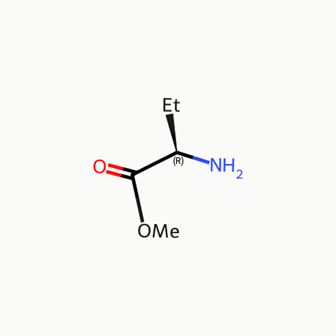 CC[C@@H](N)C(=O)OC